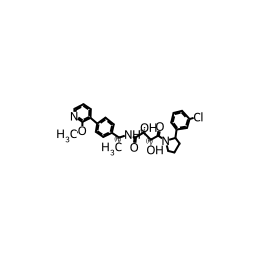 COc1ncccc1-c1ccc([C@@H](C)NC(=O)[C@H](O)[C@@H](O)C(=O)N2CCCC2c2cccc(Cl)c2)cc1